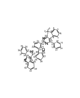 CC1(C)c2ccccc2-c2c(-c3ccccc3)nc(-c3cccc4c3oc3cccc(-c5nc6ccccc6c6nc7ccccc7n56)c34)nc21